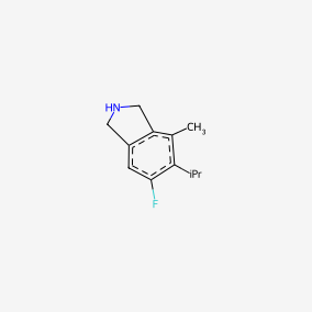 Cc1c2c(cc(F)c1C(C)C)CNC2